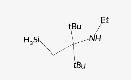 CCNC(C[SiH3])(C(C)(C)C)C(C)(C)C